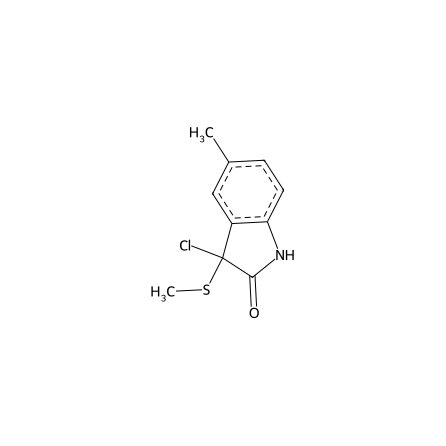 CSC1(Cl)C(=O)Nc2ccc(C)cc21